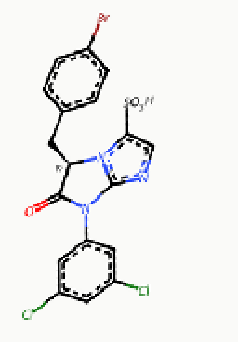 O=C1[C@@H](Cc2ccc(Br)cc2)n2c(S(=O)(=O)O)cnc2N1c1cc(Cl)cc(Cl)c1